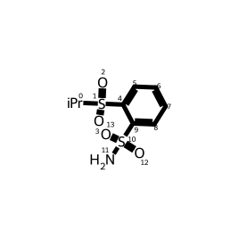 CC(C)S(=O)(=O)c1ccccc1S(N)(=O)=O